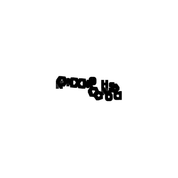 O=C(NC1CCc2ccc(C(=O)N3CCC4(CC3)CCN(c3cccnc3)CC4)cc21)c1sccc1Cl